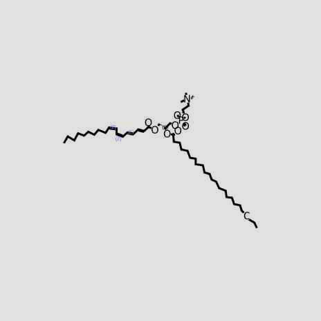 CCCCCCCCC\C=C/C=C\C=C\C=CC(=O)OC[C@H](COP(=O)([O-])OCC[N+](C)(C)C)OC(=O)CCCCCCCCCCCCCCCCCCCCCCC